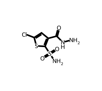 NNC(=O)c1cc(Cl)sc1S(N)(=O)=O